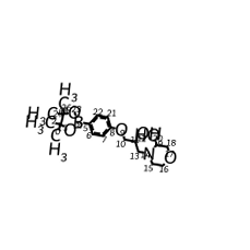 CC1(C)OB(c2ccc(OCC(O)CN3CCOCC3O)cc2)OC1(C)C